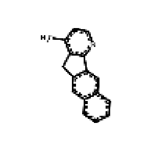 Cc1ccnc2c1Cc1cc3ccccc3cc1-2